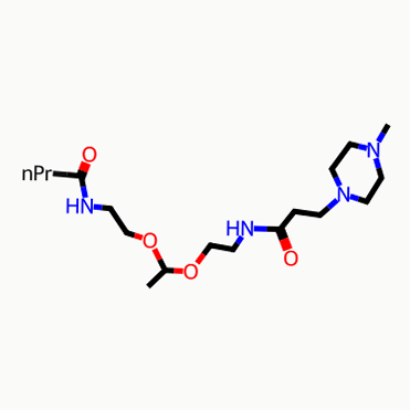 CCCC(=O)NCCOC(C)OCCNC(=O)CCN1CCN(C)CC1